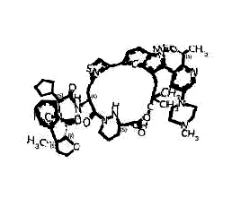 CCn1c(-c2cc(N3CCN(C)CC3)cnc2[C@H](C)OC)c2c3cc(ccc31)-c1csc(n1)C[C@H](NC(=O)[C@H](C1CCCC1)N(C)C(=O)[C@@H]1OCC[C@@]1(C)c1ccccc1)C(=O)N1CCC[C@@](O)(N1)C(=O)OCC(C)(C)C2